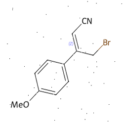 COc1ccc(/C(=C/C#N)CBr)cc1